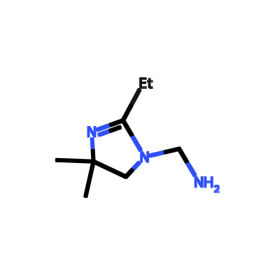 CCC1=NC(C)(C)CN1CN